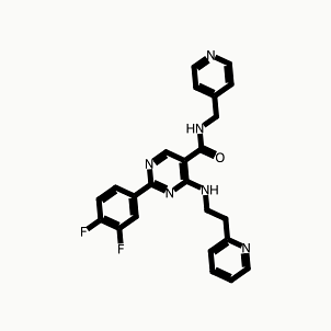 O=C(NCc1ccncc1)c1cnc(-c2ccc(F)c(F)c2)nc1NCCc1ccccn1